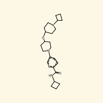 O=C(NC1CCC1)c1ccc(N2CCC(OC3CCN(C4CCC4)CC3)CC2)cn1